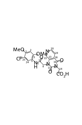 COc1cc(OC)c(NC(=O)Cn2c(=O)n(CC(=O)O)c(=O)c3ccncc32)cc1Cl